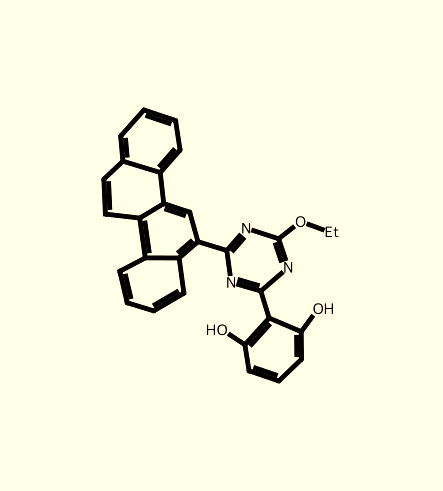 CCOc1nc(-c2c(O)cccc2O)nc(-c2cc3c4ccccc4ccc3c3ccccc23)n1